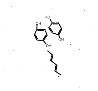 CC=CC=CC.Oc1ccc(O)cc1.Oc1ccc(O)cc1